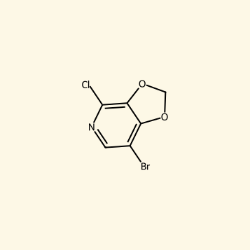 Clc1ncc(Br)c2c1OCO2